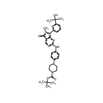 Cn1c(=O)c2cnc(Nc3ccc(N4CCN(C(=O)OC(C)(C)C)CC4)cc3)nc2n1-c1cccc(C(C)(C)O)n1